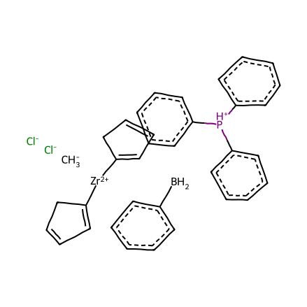 Bc1ccccc1.C1=CC[C]([Zr+2][C]2=CC=CC2)=C1.[CH3-].[Cl-].[Cl-].c1ccc([PH+](c2ccccc2)c2ccccc2)cc1